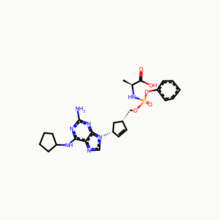 C[C@H](NP(=O)(OC[C@@H]1C=C[C@H](n2cnc3c(NC4CCCC4)nc(N)nc32)C1)Oc1ccccc1)C(=O)O